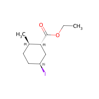 CCOC(=O)[C@@H]1C[C@@H](I)CC[C@H]1C